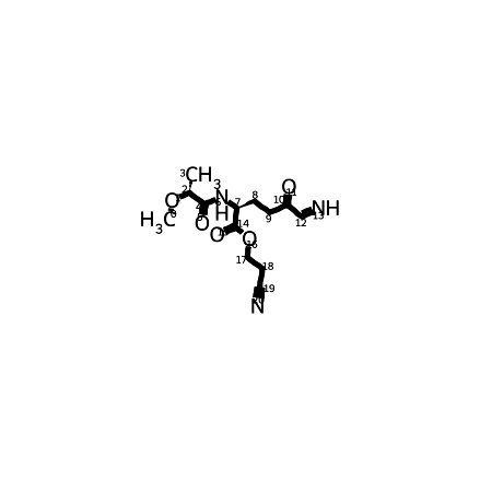 CO[C@H](C)C(=O)N[C@@H](CCC(=O)C=N)C(=O)OCCC#N